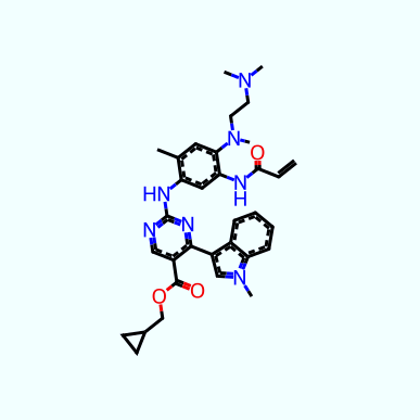 C=CC(=O)Nc1cc(Nc2ncc(C(=O)OCC3CC3)c(-c3cn(C)c4ccccc34)n2)c(C)cc1N(C)CCN(C)C